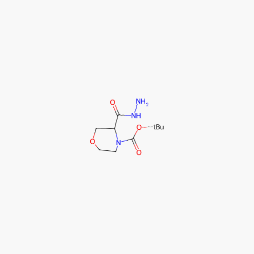 CC(C)(C)OC(=O)N1CCOCC1C(=O)NN